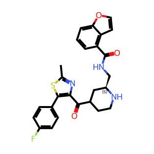 Cc1nc(C(=O)C2CCN[C@H](CNC(=O)c3cccc4occc34)C2)c(-c2ccc(F)cc2)s1